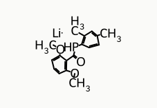 COc1cccc(OC)c1C(=O)Pc1ccc(C)cc1C.[Li]